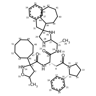 CC1CC(C(=O)N[C@@H](CC(=O)N2CCC[C@@H]2c2ccccc2)C(=O)N[C@@H](C)C2NCC(Cc3ccccc3)(C3CCCCCC3)N2)(C2CCCCCCC2)NO1